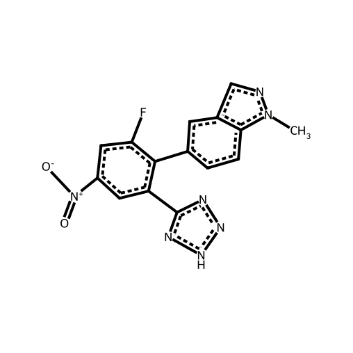 Cn1ncc2cc(-c3c(F)cc([N+](=O)[O-])cc3-c3nn[nH]n3)ccc21